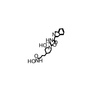 O=C(CCCC1CCN(C(=O)[C@H](CO)NC(=O)c2cc3ccccc3cn2)CC1)NO